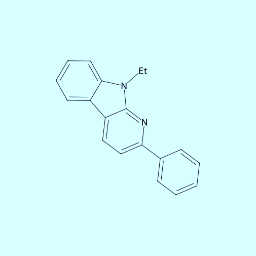 CCn1c2ccccc2c2ccc(-c3ccccc3)nc21